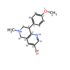 COc1ccc(C2CN(C)Cc3cc(Br)cnc32)cc1